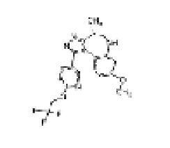 COc1ccc2c(c1)NC[C@@H](C)c1nnc(-c3ccc(OCC(F)(F)F)nc3)n1-2